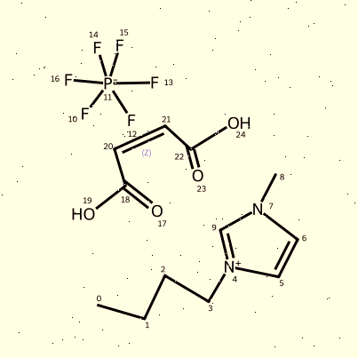 CCCC[n+]1ccn(C)c1.F[P-](F)(F)(F)(F)F.O=C(O)/C=C\C(=O)O